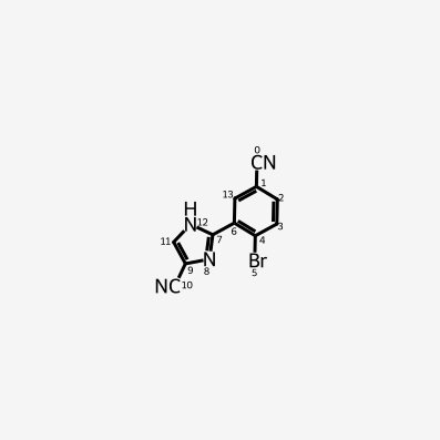 N#Cc1ccc(Br)c(-c2nc(C#N)c[nH]2)c1